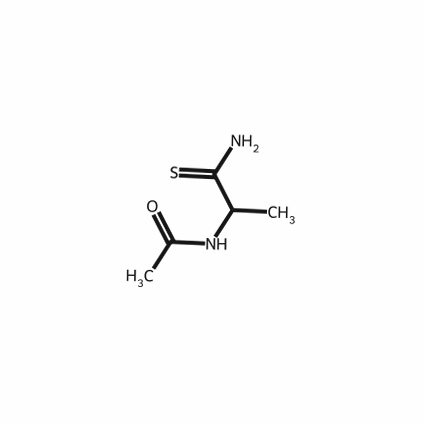 CC(=O)NC(C)C(N)=S